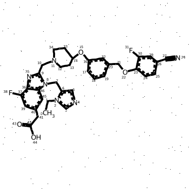 CCn1cncc1Cn1c(CN2CCC(Oc3cccc(COc4ccc(C#N)cc4F)c3)CC2)nc2c(F)cc(CC(=O)O)cc21